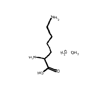 NCCCCC(N)C(=O)O.O.O